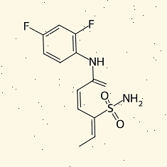 C=C(/C=C\C(=C/C)S(N)(=O)=O)Nc1ccc(F)cc1F